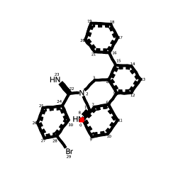 N=CN(Cc1c(-c2ccccc2)cccc1-c1ccccc1)C(=N)c1cccc(Br)c1